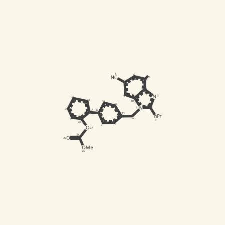 CCCc1nc2c(C)cc(C#N)cc2n1Cc1ccc(-c2ccccc2OC(=O)OC)cc1